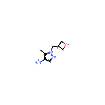 Cc1c(N)cnn1CC1COC1